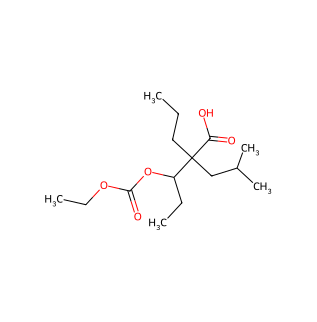 CCCC(CC(C)C)(C(=O)O)C(CC)OC(=O)OCC